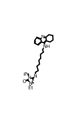 CCn1sc(=NCCCCCCCCCNc2c3c(nc4ccccc24)CCCC3)n(C(C)C)c1=O